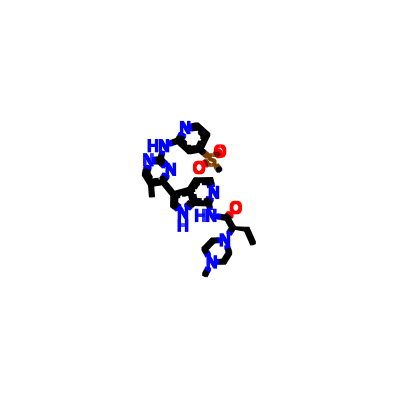 CC[C@H](C(=O)Nc1nccc2c(-c3nc(Nc4cc(S(C)(=O)=O)ccn4)ncc3C)c[nH]c12)N1CCN(C)CC1